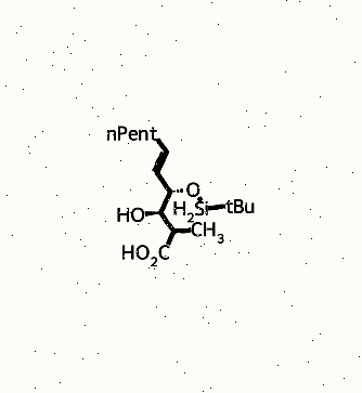 CCCCCC=C[C@H](O[SiH2]C(C)(C)C)[C@H](O)C(C)C(=O)O